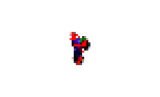 COC(=O)Cn1cc2c(n1)N(Cc1ccccc1C(F)(F)F)C(=O)N(C1CCN(c3c(C)cccc3F)CC1)C2